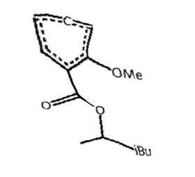 CCC(C)C(C)OC(=O)c1ccccc1OC